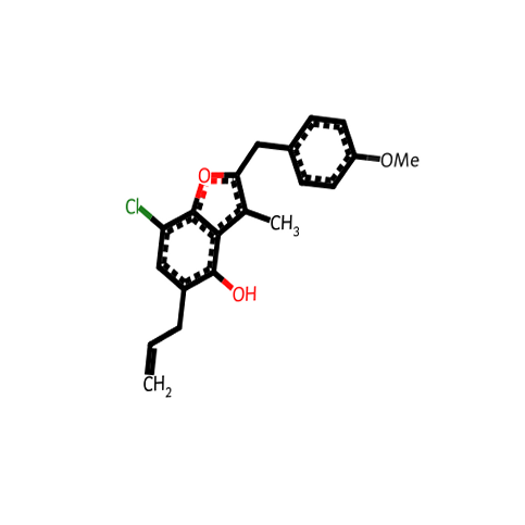 C=CCc1cc(Cl)c2oc(Cc3ccc(OC)cc3)c(C)c2c1O